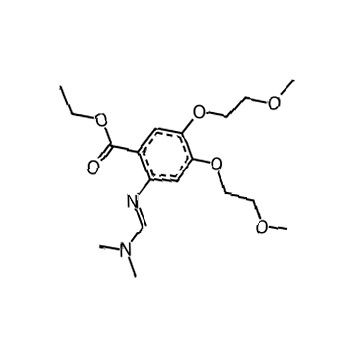 CCOC(=O)c1cc(OCCOC)c(OCCOC)cc1N=CN(C)C